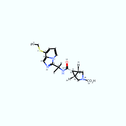 CC(C)CSc1cccn2c(C(C)(C)NC(=O)[C@@H]3[C@@H]4CN(C(=O)O)C[C@@H]43)ncc12